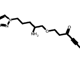 CC#CC(=O)CCOCC(N)CCCn1ccnn1